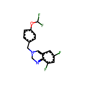 Fc1cc(F)c2c(c1)=CN(Cc1ccc(OC(F)F)cc1)CN=2